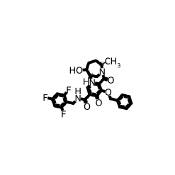 C[C@H]1CCC(O)[C@H]2CN1C(=O)c1c(OCc3ccccc3)c(=O)c(C(=O)NCc3c(F)cc(F)cc3F)cn12